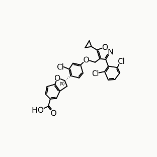 O=C(O)c1ccc2c(c1)C[C@@H](c1ccc(OCc3c(-c4c(Cl)cccc4Cl)noc3C3CC3)cc1Cl)O2